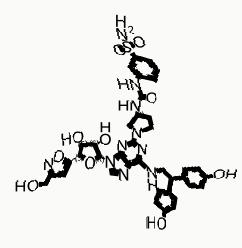 NS(=O)(=O)c1cccc(NC(=O)N[C@@H]2CCN(c3nc(NCC(c4ccc(O)cc4)c4ccc(O)cc4)c4ncn([C@@H]5O[C@H](c6cc(CO)no6)[C@@H](O)[C@@H]5O)c4n3)C2)c1